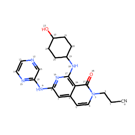 N#CCCn1ccc2cc(Nc3cnccn3)nc(NC3CCC(O)CC3)c2c1=O